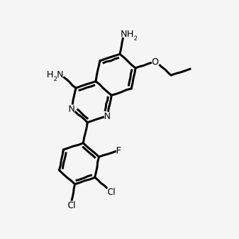 CCOc1cc2nc(-c3ccc(Cl)c(Cl)c3F)nc(N)c2cc1N